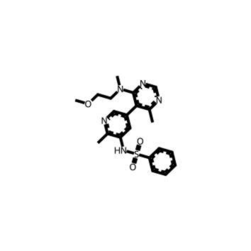 COCCN(C)c1ncnc(C)c1-c1cnc(C)c(NS(=O)(=O)c2ccccc2)c1